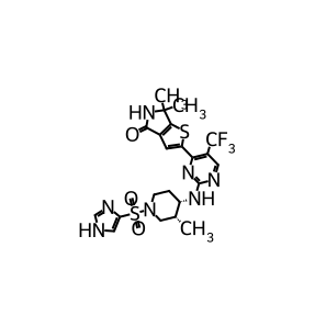 C[C@@H]1CN(S(=O)(=O)c2c[nH]cn2)CC[C@@H]1Nc1ncc(C(F)(F)F)c(-c2cc3c(s2)C(C)(C)NC3=O)n1